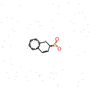 O=S(=O)=C1[CH]c2ccccc2C=C1